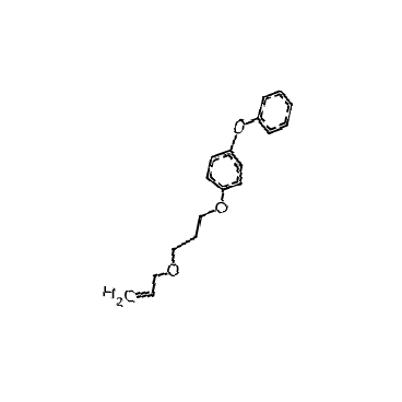 C=CCOCCCOc1ccc(Oc2ccccc2)cc1